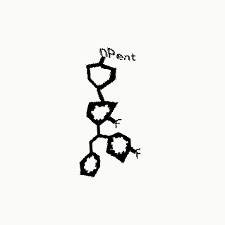 CCCCCC1CCC(c2ccc(C(Cc3ccccc3)c3ccc(F)cc3)c(F)c2)CC1